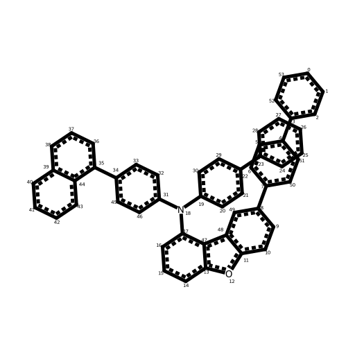 c1ccc(-c2ccc(-c3ccc4oc5cccc(N(c6ccc(-c7ccccc7)cc6)c6ccc(-c7cccc8ccccc78)cc6)c5c4c3)cc2)cc1